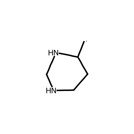 [CH2]C1CCNCN1